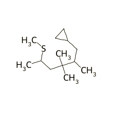 CSC(C)CC(C)(C)C(C)CC1CC1